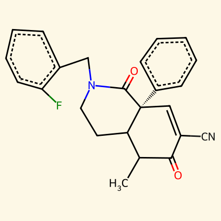 CC1C(=O)C(C#N)=C[C@]2(c3ccccc3)C(=O)N(Cc3ccccc3F)CCC12